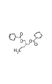 C=CCC(COC(=O)c1ccccc1)COC(=O)c1ccccc1